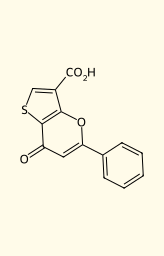 O=C(O)c1csc2c(=O)cc(-c3ccccc3)oc12